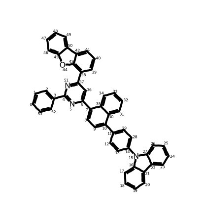 c1ccc(-c2nc(-c3ccc(-c4ccc(-n5c6ccccc6c6ccccc65)cc4)c4ccccc34)cc(-c3cccc4c3oc3ccccc34)n2)cc1